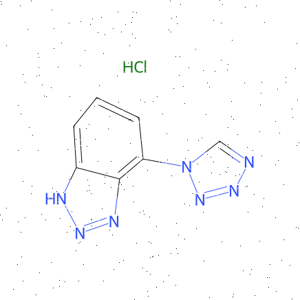 Cl.c1cc(-n2cnnn2)c2nn[nH]c2c1